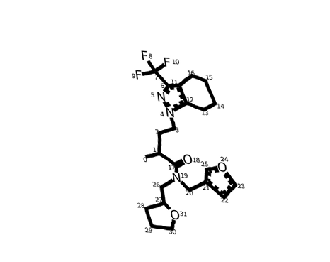 CC(CCn1nc(C(F)(F)F)c2c1CCCC2)C(=O)N(Cc1ccoc1)CC1CCCO1